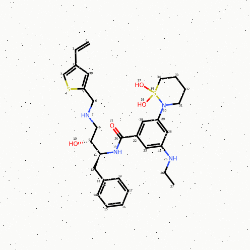 C=Cc1csc(CNC[C@@H](O)[C@H](Cc2ccccc2)NC(=O)c2cc(NCC)cc(N3CCCCS3(O)O)c2)c1